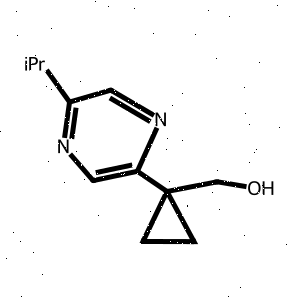 CC(C)c1cnc(C2(CO)CC2)cn1